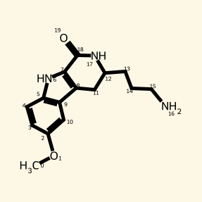 COc1ccc2[nH]c3c(c2c1)CC(CCCN)NC3=O